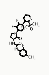 Cc1ccc(NC(=O)N[C@@H]2CCN(c3ccc(-c4cccnc4P(C)(C)=O)c(F)c3F)C2=O)c(F)c1